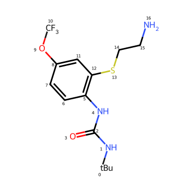 CC(C)(C)NC(=O)Nc1ccc(OC(F)(F)F)cc1SCCN